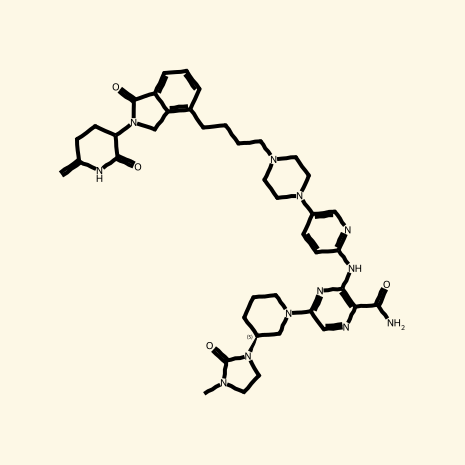 C=C1CCC(N2Cc3c(CCCCN4CCN(c5ccc(Nc6nc(N7CCC[C@H](N8CCN(C)C8=O)C7)cnc6C(N)=O)nc5)CC4)cccc3C2=O)C(=O)N1